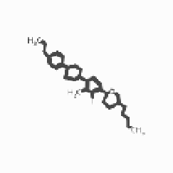 CCCCCC1CCC(c2ccc(C3CCC(c4ccc(CCC)cc4)CC3)c(C)c2F)OC1